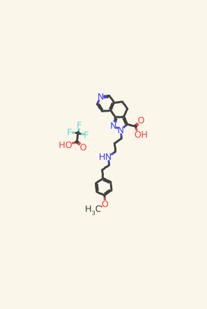 COc1ccc(CCNCCCn2nc3c(c2C(=O)O)CCc2cnccc2-3)cc1.O=C(O)C(F)(F)F